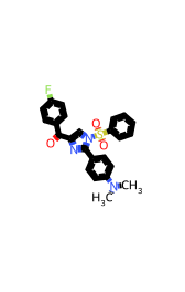 CN(C)c1ccc(-c2nc(C(=O)c3ccc(F)cc3)cn2S(=O)(=O)c2ccccc2)cc1